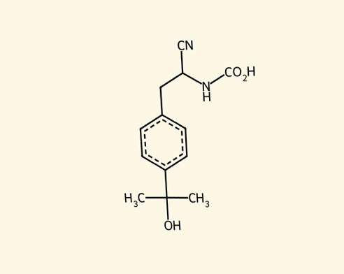 CC(C)(O)c1ccc(CC(C#N)NC(=O)O)cc1